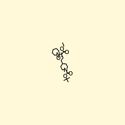 CCOC(=O)C(CCC1CCN(C(=O)OC(C)(C)C)CC1)[N+]1([O-])CCCCC1